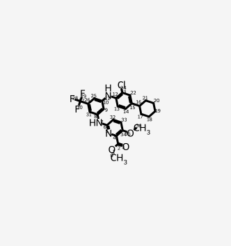 COC(=O)c1nc(Nc2cc(Nc3ccc(C4CCCCC4)cc3Cl)cc(C(F)(F)F)c2)ccc1OC